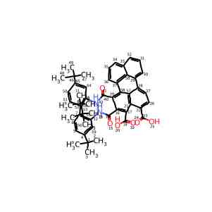 CC(C)(C)c1ccc(C(C)(C)C)c(NC(=O)c2c(C(=O)O)c3c(C(=O)O)ccc4c5cccc6cccc(c(c2C(=O)Nc2cc(C(C)(C)C)ccc2C(C)(C)C)c34)c65)c1